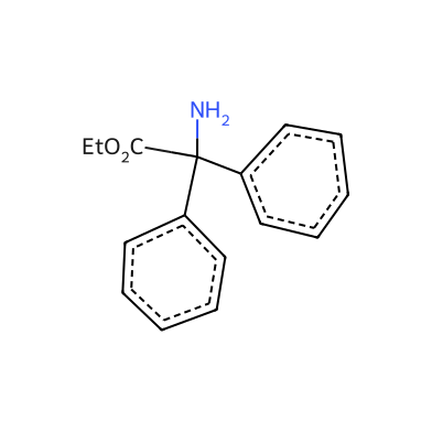 CCOC(=O)C(N)(c1ccccc1)c1ccccc1